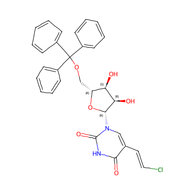 O=c1[nH]c(=O)n([C@@H]2O[C@H](COC(c3ccccc3)(c3ccccc3)c3ccccc3)[C@@H](O)[C@H]2O)cc1C=CCl